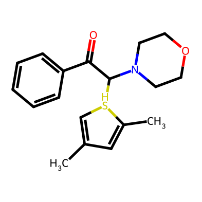 CC1=C[SH](C(C(=O)c2ccccc2)N2CCOCC2)C(C)=C1